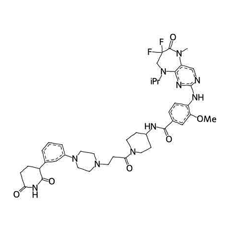 COc1cc(C(=O)NC2CCN(C(=O)CCN3CCN(c4cccc(C5CCC(=O)NC5=O)c4)CC3)CC2)ccc1Nc1ncc2c(n1)N(C(C)C)CC(F)(F)C(=O)N2C